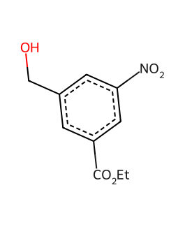 CCOC(=O)c1cc(CO)cc([N+](=O)[O-])c1